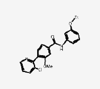 CCOc1cccc(NC(=O)c2ccc(-c3ncccc3Cl)c(OC)c2)c1